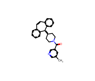 Cc1cncc(C(=O)N2CCC(=C3c4ccccc4C=Cc4ccccc43)CC2)c1